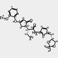 CCOc1ccccc1OC1=CC(=O)N([C@@H](CC(C)C)C(=O)Nc2ccn(C[C@@H]3COC(C)(C)O3)n2)C1